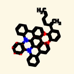 C=C/C=C\C(=C)c1cccc2c1Oc1cc(N(c3ccccc3)c3ccccc3-c3ccccc3)c(N(c3ccccc3)c3ccccc3-c3ccccc3)cc1O2